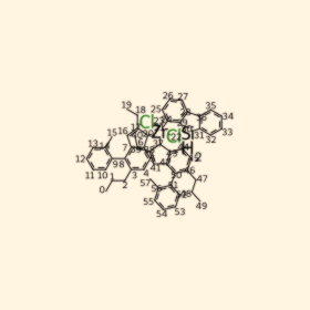 CCCc1ccc2c(c1-c1ccccc1C)C=C(CC)[CH]2[Zr]([Cl])([Cl])([c]1cccc2c1[SiH2]c1ccccc1-2)[CH]1C(CC)=Cc2c1ccc(CCC)c2-c1ccccc1C